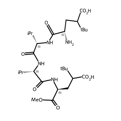 COC(=O)[C@H](CC(C(=O)O)C(C)(C)C)NC(=O)[C@@H](NC(=O)[C@@H](NC(=O)[C@@H](N)CC(C(=O)O)C(C)(C)C)C(C)C)C(C)C